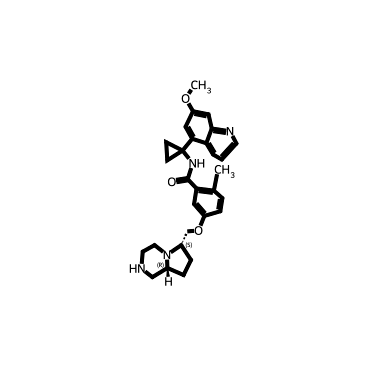 COc1cc(C2(NC(=O)c3cc(OC[C@@H]4CC[C@@H]5CNCCN54)ccc3C)CC2)c2cccnc2c1